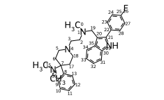 CN(CCN1CCC(c2ccccc2)(N(C)C)CC1)Cc1c(-c2ccc(F)cc2)[nH]c2ccccc12